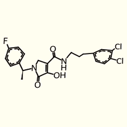 C[C@@H](c1ccc(F)cc1)N1CC(C(=O)NCCCc2ccc(Cl)c(Cl)c2)=C(O)C1=O